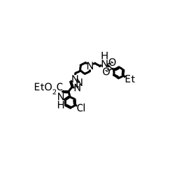 CCOC(=O)c1[nH]c2ccc(Cl)cc2c1-c1cn(CC2CCN(CCNS(=O)(=O)c3ccc(CC)cc3)CC2)nn1